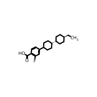 CC[C@H]1CC[C@H](C2CCC(c3ccc(C(=O)O)c(F)c3)CC2)CC1